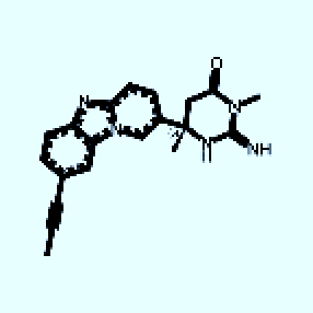 CC#Cc1ccc2nc3ccc([C@]4(C)CC(=O)N(C)C(=N)N4)cn3c2c1